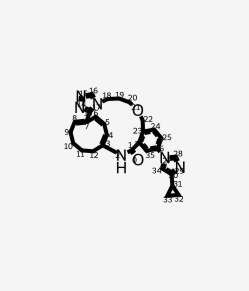 O=C1N/C2=C/C=C\C(=C\CCCC2)c2nncn2CCCOCc2ccc(-n3cnc(C4CC4)c3)cc21